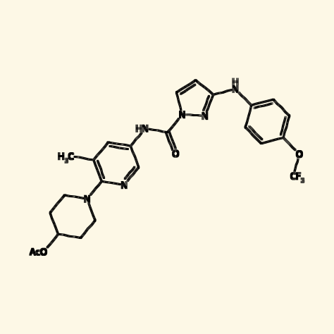 CC(=O)OC1CCN(c2ncc(NC(=O)n3ccc(Nc4ccc(OC(F)(F)F)cc4)n3)cc2C)CC1